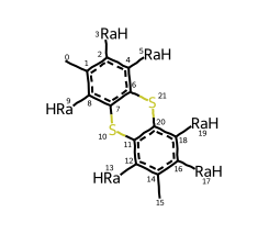 Cc1[c]([RaH])[c]([RaH])c2c([c]1[RaH])Sc1[c]([RaH])c(C)[c]([RaH])[c]([RaH])c1S2